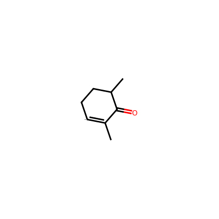 CC1=[C]CCC(C)C1=O